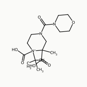 CC(C)(C)[N+]1(C(=O)O)CCN(C(=O)N2CCOCC2)CC1(C)C(=O)O